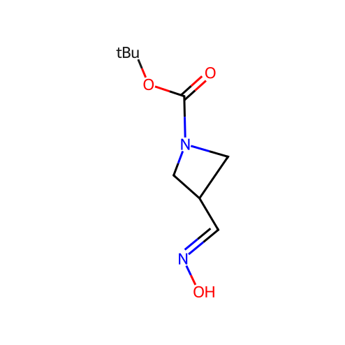 CC(C)(C)OC(=O)N1CC(C=NO)C1